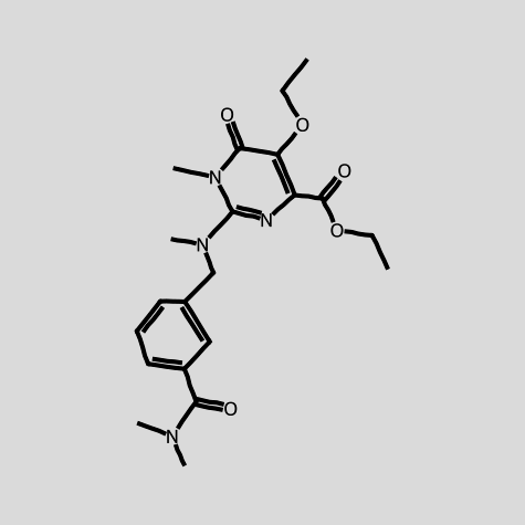 CCOC(=O)c1nc(N(C)Cc2cccc(C(=O)N(C)C)c2)n(C)c(=O)c1OCC